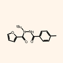 Cc1ccc(C(=O)NN(C(=O)c2ccco2)C(C)(C)C)cc1